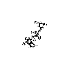 CCC1CC(CC)CC(CNC(=O)COc2nc(=O)[nH]c3c2CCC3)C1